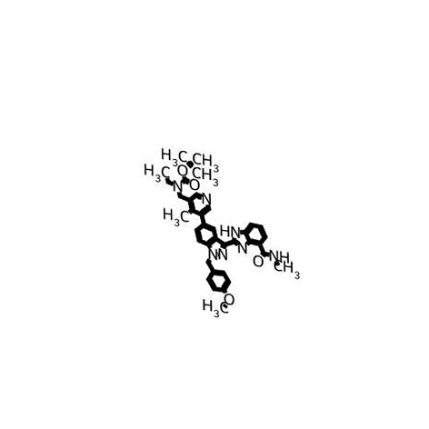 CCN(Cc1cncc(-c2ccc3c(c2)c(-c2nc4c(C(=O)NC)cccc4[nH]2)nn3Cc2ccc(OC)cc2)c1C)C(=O)OC(C)(C)C